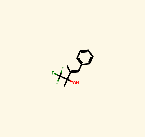 C/C(=C\c1ccccc1)C(C)(O)C(F)(F)F